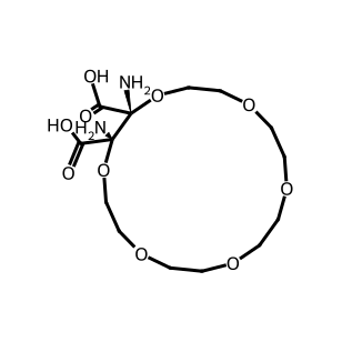 N[C@@]1(C(=O)O)OCCOCCOCCOCCOCCO[C@]1(N)C(=O)O